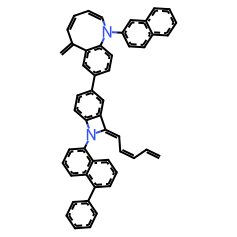 C=C/C=C\C=C1\c2cc(-c3ccc4c(c3)C(=C)/C=C\C=C/N4c3ccc4ccccc4c3)ccc2N1c1cccc2c(-c3ccccc3)cccc12